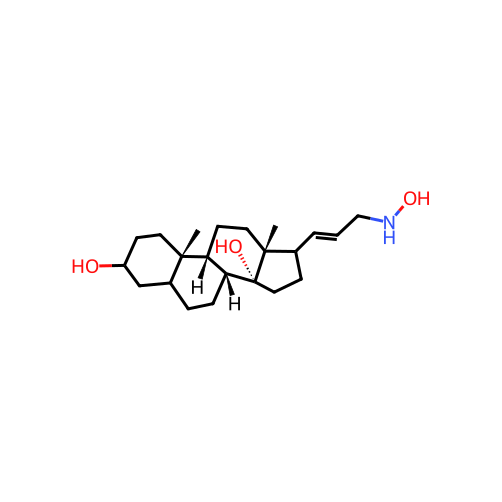 C[C@]12CCC(O)CC1CC[C@@H]1[C@H]2CC[C@]2(C)C(/C=C/CNO)CC[C@@]12O